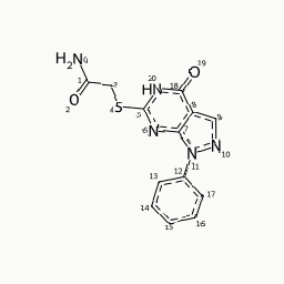 NC(=O)CSc1nc2c(cnn2-c2ccccc2)c(=O)[nH]1